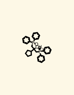 CC(CP(=O)(c1ccccc1)c1ccccc1)(CP(=O)(c1ccccc1)c1ccccc1)C1CCCC1